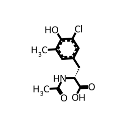 CC(=O)N[C@H](Cc1cc(C)c(O)c(Cl)c1)C(=O)O